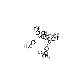 Cc1ccc(CC[N+]2=C(/C=C/C=C3/N(CCc4ccc(OC(C)C)cc4)c4ccc(C(F)(F)F)cc4C3(C)C)C(C)(C)c3cc(C(F)(F)F)ccc32)cc1